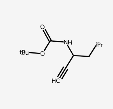 C#CC(CC(C)C)NC(=O)OC(C)(C)C